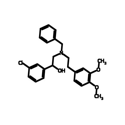 COc1ccc(CCN(Cc2ccccc2)CC(O)c2cccc(Cl)c2)cc1OC